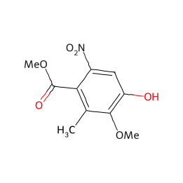 COC(=O)c1c([N+](=O)[O-])cc(O)c(OC)c1C